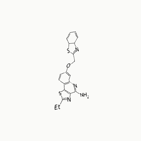 CCc1nc2c(N)nc3cc(OCC4=NC5C=CC=CC5S4)ccc3c2s1